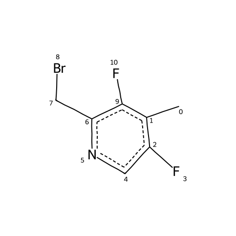 Cc1c(F)cnc(CBr)c1F